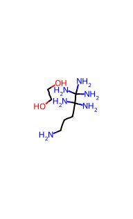 NCCCC(N)(N)C(N)(N)N.OCCO